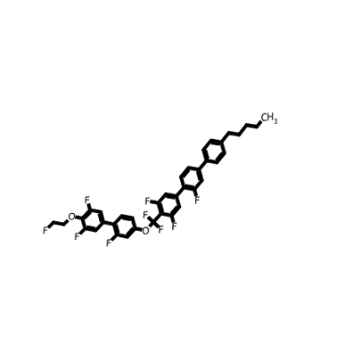 CCCCCc1ccc(-c2ccc(-c3cc(F)c(C(F)(F)Oc4ccc(-c5cc(F)c(OCCF)c(F)c5)c(F)c4)c(F)c3)c(F)c2)cc1